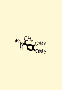 COc1ccc(C(C)NC(C)C)cc1OC